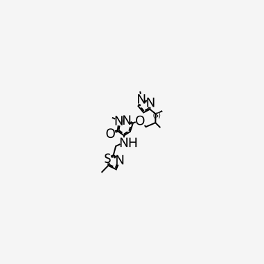 Cc1cnc(CNc2cc(OCC(C)[C@H](C)c3ccn(C)n3)nn(C)c2=O)s1